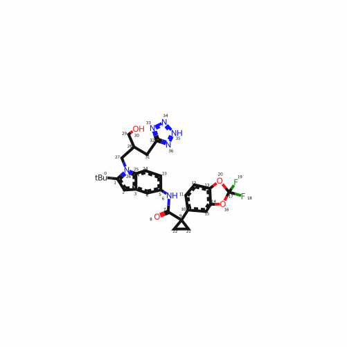 CC(C)(C)c1cc2cc(NC(=O)C3(c4ccc5c(c4)OC(F)(F)O5)CC3)ccc2n1CC(CO)Cc1nn[nH]n1